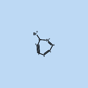 BrC1C#CC=CC=N1